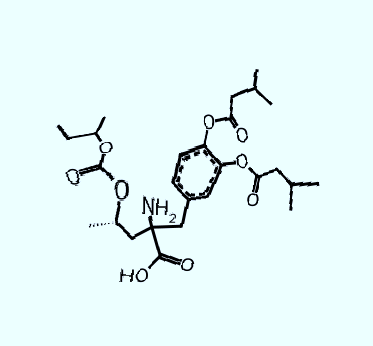 CCC(C)OC(=O)O[C@@H](C)CC(N)(Cc1ccc(OC(=O)CC(C)C)c(OC(=O)CC(C)C)c1)C(=O)O